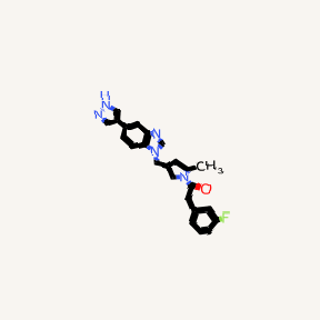 CC1CC(Cn2cnc3cc(-c4cn[nH]c4)ccc32)CN1C(=O)Cc1cccc(F)c1